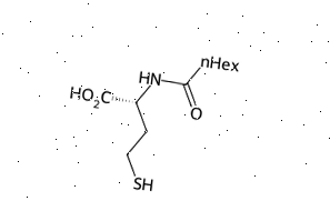 CCCCCCC(=O)N[C@H](CCS)C(=O)O